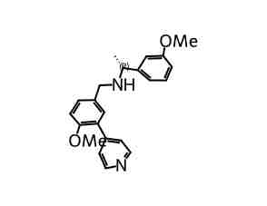 COc1cccc([C@@H](C)NCc2ccc(OC)c(-c3ccncc3)c2)c1